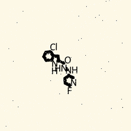 O=C(NNc1ccc(F)nc1)c1cc2c(Cl)cccc2[nH]1